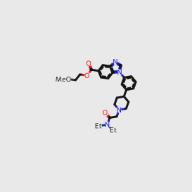 CCN(CC)C(=O)CN1CCC(c2cccc(-n3cnc4cc(C(=O)OCCOC)ccc43)c2)CC1